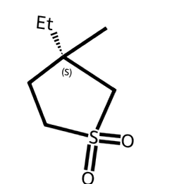 CC[C@@]1(C)CCS(=O)(=O)C1